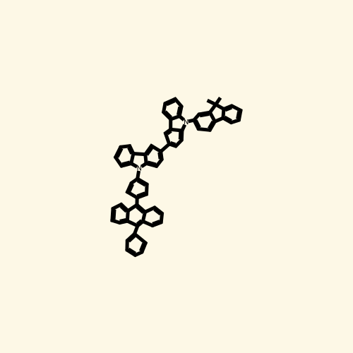 CC1(C)c2ccccc2-c2ccc(-n3c4ccccc4c4cc(-c5ccc6c(c5)c5ccccc5n6-c5ccc(-c6c7ccccc7c(-c7ccccc7)c7ccccc67)cc5)ccc43)cc21